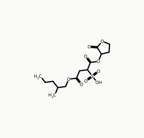 CCCC(C)COC(=O)CC(C(=O)OC1CCOC1=O)S(=O)(=O)O